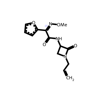 C=CCN1CC(NC(=O)/C(=N\OC)c2ccco2)C1=O